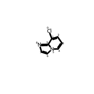 Clc1cccn2ccnc12